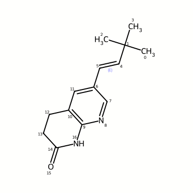 CC(C)(C)/C=C/c1cnc2c(c1)CCC(=O)N2